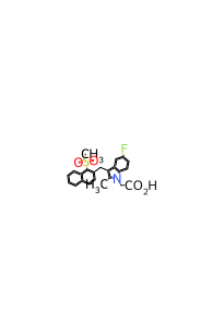 Cc1c(Cc2ccc3ccccc3c2S(C)(=O)=O)c2cc(F)ccc2n1CC(=O)O